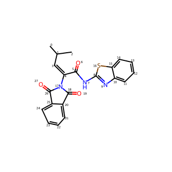 CC(C)C=C(C(=O)Nc1nc2ccccc2s1)N1C(=O)c2ccccc2C1=O